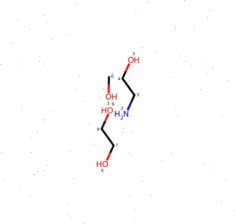 CO.NCCO.OCCO